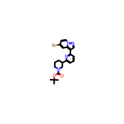 CC(C)(C)OC(=O)N1CCCC(c2cccc(-c3cnn4ccc(Br)cc34)n2)C1